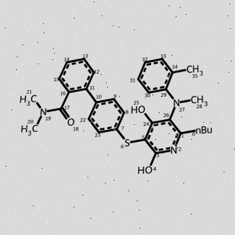 CCCCc1nc(O)c(Sc2ccc(-c3ccccc3C(=O)N(C)C)cc2)c(O)c1N(C)c1ccccc1C